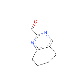 O=Cc1ncc2c(n1)CCCC2